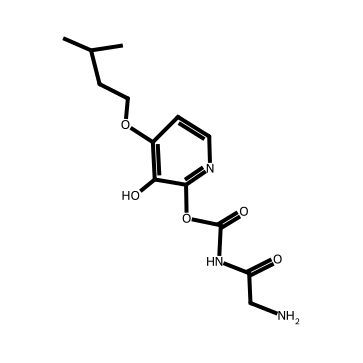 CC(C)CCOc1ccnc(OC(=O)NC(=O)CN)c1O